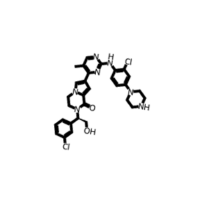 Cc1cnc(Nc2ccc(N3CCNCC3)cc2Cl)nc1-c1cc2n(c1)CCN([C@@H](CO)c1cccc(Cl)c1)C2=O